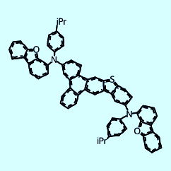 CC(C)c1ccc(N(c2ccc3sc4cc5c6ccc(N(c7ccc(C(C)C)cc7)c7cccc8c7oc7ccccc78)cc6c6ccccc6c5cc4c3c2)c2cccc3c2oc2ccccc23)cc1